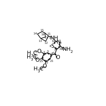 COc1cc(C(=O)c2sc(NC3CC4CCC3C4)nc2N)cc(OC)c1OC